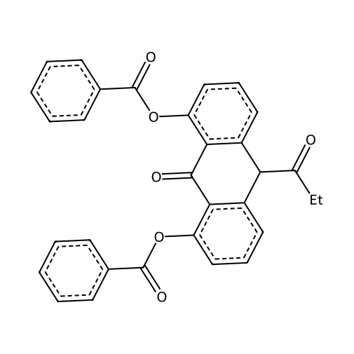 CCC(=O)C1c2cccc(OC(=O)c3ccccc3)c2C(=O)c2c(OC(=O)c3ccccc3)cccc21